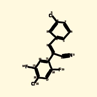 N#C/C(=C\c1cccc(Cl)c1)c1cc(F)c(Cl)cc1F